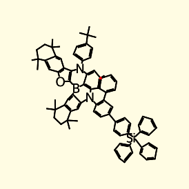 Cc1cc2c3c(c1)N(c1ccc(C(C)(C)C)cc1)c1c(oc4cc5c(cc14)C(C)(C)CCC5(C)C)B3c1cc3c(cc1N2c1ccc(-c2ccc([Si](c4ccccc4)(c4ccccc4)c4ccccc4)cc2)cc1-c1ccccc1)C(C)(C)CCC3(C)C